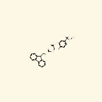 O=C(N[C@@H](Cc1ccc(C(F)(F)P(=O)(O)O)cc1)C(=O)O)OCC1c2ccccc2-c2ccccc21